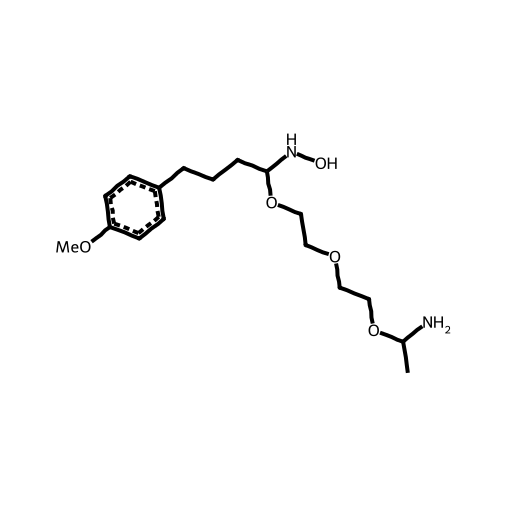 COc1ccc(CCCC(NO)OCCOCCOC(C)N)cc1